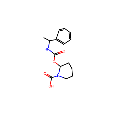 CC(NC(=O)OC1CCCCN1C(=O)O)c1ccccc1